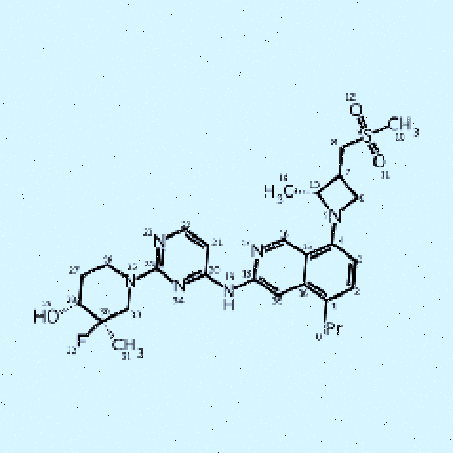 CC(C)c1ccc(N2C[C@H](CS(C)(=O)=O)[C@H]2C)c2cnc(Nc3ccnc(N4CC[C@@H](O)[C@](C)(F)C4)n3)cc12